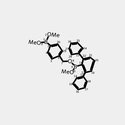 COB(OC)c1ccc(COB(OC)c2c(-c3ccccc3)cccc2-c2ccccc2)cc1